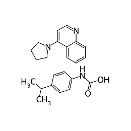 CC(C)c1ccc(NC(=O)O)cc1.c1ccc2c(N3CCCC3)ccnc2c1